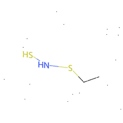 CCSNS